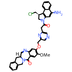 COc1cc2c(cc1OCc1cncc(CC(=O)N3C[C@@H](CCl)c4c3cc(N)c3ccccc43)n1)N=C[C@@H]1Cc3ccccc3CN1C2=O